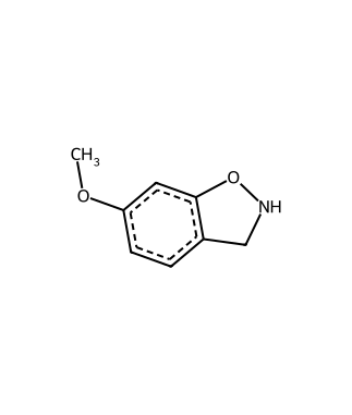 COc1ccc2c(c1)ONC2